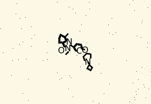 CCn1c(-c2ccc(OC3CCN(C4CCC4)CC3)cc2)nc2c(C)cccc2c1=O